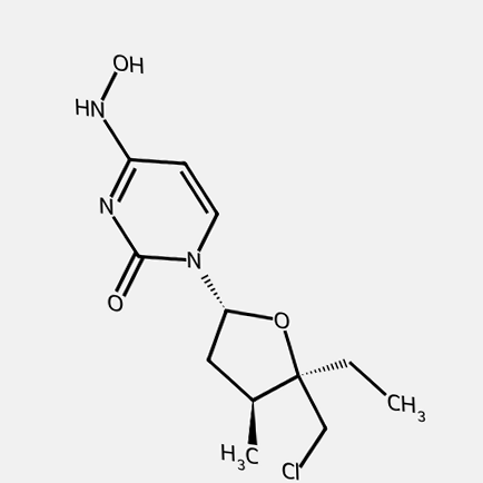 CC[C@@]1(CCl)O[C@@H](n2ccc(NO)nc2=O)C[C@@H]1C